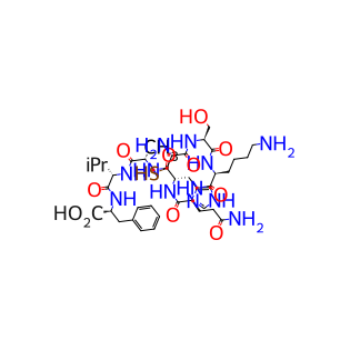 CC(C)[C@H](NC(=O)[C@H](C)NC(=O)[C@H](Cc1c[nH]cn1)NC(=O)[C@H](CCC(N)=O)NC(=O)[C@H](CCCCN)NC(=O)[C@H](CO)NC(=O)[C@@H](N)CS)C(=O)N[C@@H](Cc1ccccc1)C(=O)O